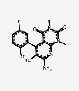 Cn1c(=O)c2c(-c3cc(F)ccc3Br)c(C#N)c(N)nc2n(C)c1=O